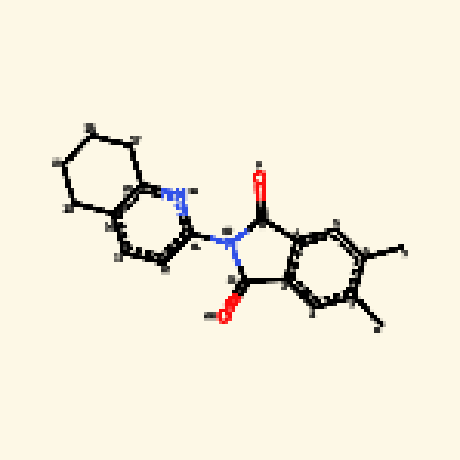 Cc1cc2c(cc1C)C(=O)N(c1ccc3c(n1)CCCC3)C2=O